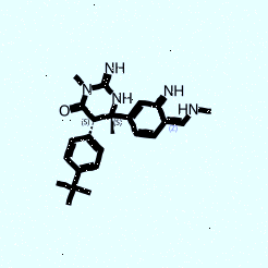 CN/C=C1/C=CC([C@@]2(C)NC(=N)N(C)C(=O)[C@H]2c2ccc(C(C)(C)C)cc2)=CC1=N